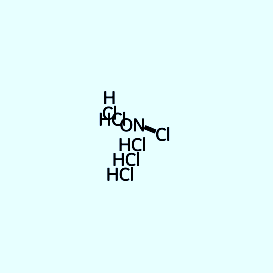 Cl.Cl.Cl.Cl.Cl.O=NCl